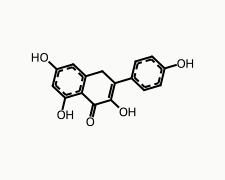 O=C1C(O)=C(c2ccc(O)cc2)Cc2cc(O)cc(O)c21